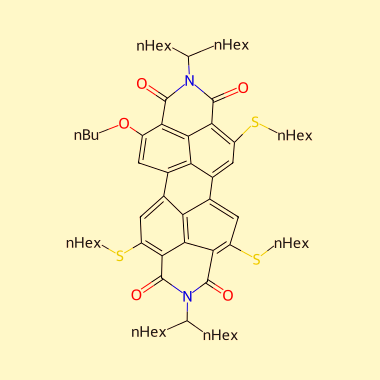 CCCCCCSc1cc2c3cc(SCCCCCC)c4c5c(c(SCCCCCC)cc(c6cc(OCCCC)c7c(c1C(=O)N(C(CCCCCC)CCCCCC)C7=O)c62)c53)C(=O)N(C(CCCCCC)CCCCCC)C4=O